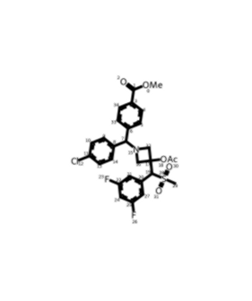 COC(=O)c1ccc(C(c2ccc(Cl)cc2)N2CC(OC(C)=O)(C(c3cc(F)cc(F)c3)S(C)(=O)=O)C2)cc1